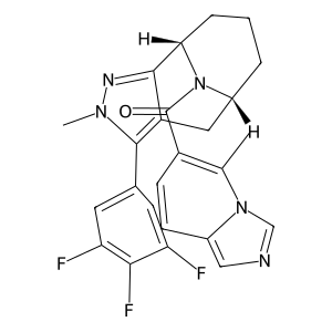 Cc1c(C(=O)N2[C@@H]3CCC[C@H]2c2nn(C)c(-c4cc(F)c(F)c(F)c4)c2C3)ccc2cncn12